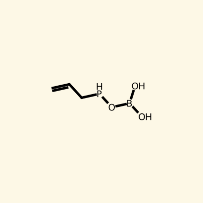 C=CCPOB(O)O